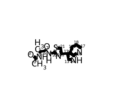 CC(=O)N[C@@H](C)C(=O)Nc1nc(-c2c[nH]c3ncccc23)cs1